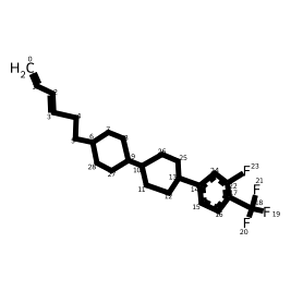 C=C/C=C/CCC1CCC(C2CCC(c3ccc(C(F)(F)F)c(F)c3)CC2)CC1